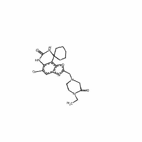 CCN1CCN(Cc2nc3cc(Cl)c4c(c3o2)C2(CCCCC2)NC(=O)N4)CC1=O